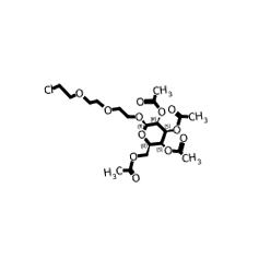 CC(=O)OC[C@H]1O[C@@H](OCCOCCOCCCl)[C@H](OC(C)=O)[C@@H](OC(C)=O)[C@H]1OC(C)=O